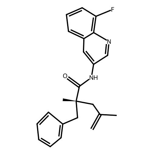 C=C(C)C[C@](C)(Cc1ccccc1)C(=O)Nc1cnc2c(F)cccc2c1